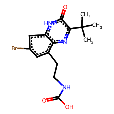 CC(C)(C)c1nc2c(CCNC(=O)O)cc(Br)cc2[nH]c1=O